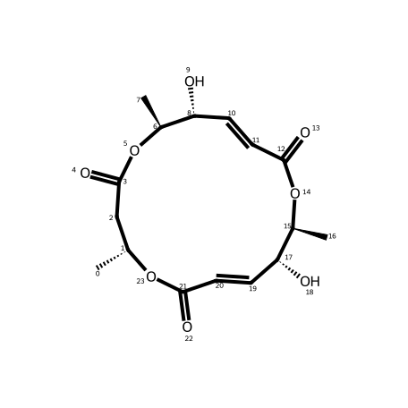 C[C@@H]1CC(=O)O[C@@H](C)[C@H](O)/C=C/C(=O)O[C@@H](C)[C@H](O)/C=C/C(=O)O1